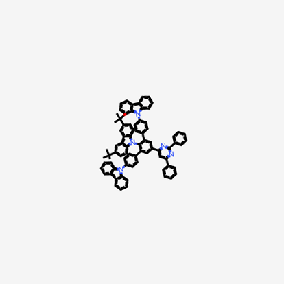 CC(C)(C)c1ccc2c(c1)c1cc(C(C)(C)C)ccc1n2-c1c(-c2ccc(-n3c4ccccc4c4ccccc43)cc2)cc(-c2cc(-c3ccccc3)nc(-c3ccccc3)n2)cc1-c1ccc(-n2c3ccccc3c3ccccc32)cc1